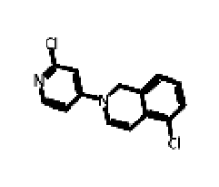 Clc1cc(N2C=Cc3c(Cl)cccc3C2)ccn1